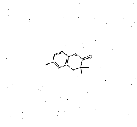 Cc1ccc2c(c1)CC(C)(C)C(=O)S2